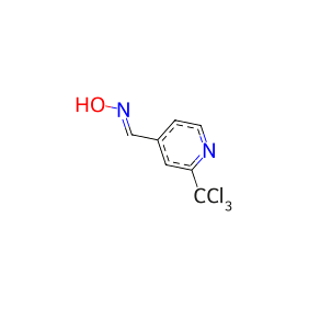 ON=Cc1ccnc(C(Cl)(Cl)Cl)c1